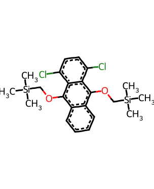 C[Si](C)(C)COc1c2ccccc2c(OC[Si](C)(C)C)c2c(Cl)ccc(Cl)c12